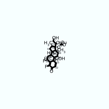 CCCCC(=O)O[C@@]1(C(=O)CO)[C@@H](C)C[C@H]2[C@@H]3C[C@H](F)C4=C(F)C(=O)C=C[C@]4(C)[C@H]3[C@@H](O)C[C@@]21C